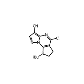 CCC(C)N1CCc2c(Cl)nc3c(C#N)cnn3c21